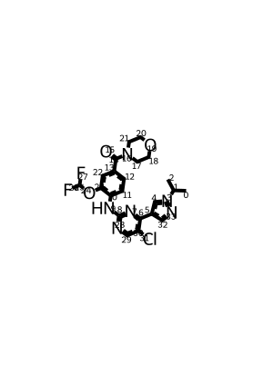 CC(C)n1cc(-c2nc(Nc3ccc(C(=O)N4CCOCC4)cc3OC(F)F)ncc2Cl)cn1